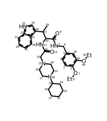 CCOc1ccc(CNC(=O)C(NC(=O)CN2CCN(C3CCCCC3)CC2)C(C)c2c[nH]c3ccccc23)cc1OCC